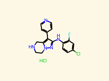 Cl.Fc1cc(Cl)ccc1Nc1nn2c(c1-c1ccncc1)CNCC2